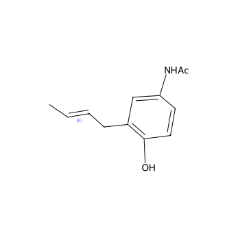 C/C=C/Cc1cc(NC(C)=O)ccc1O